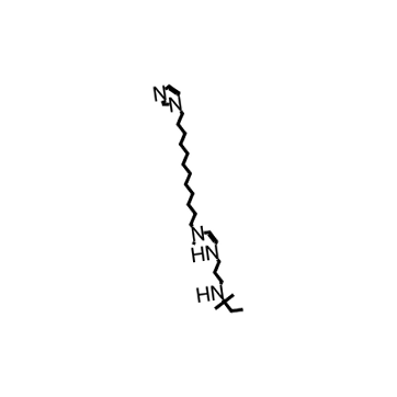 CCC(C)(C)NCCCN/C=C\N(C)CCCCCCCCCCCCn1ccnc1